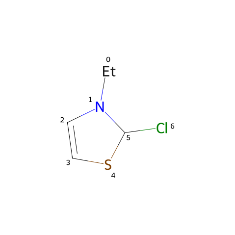 CCN1C=CSC1Cl